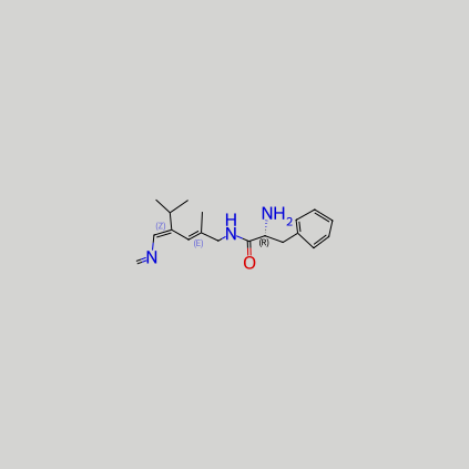 C=N/C=C(\C=C(/C)CNC(=O)[C@H](N)Cc1ccccc1)C(C)C